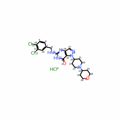 Cl.O=c1[nH]c(NCc2ccc(Cl)c(Cl)c2)nc2cnn(C3CCN(C4CCOCC4)CC3)c12